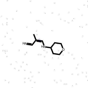 C/C(C=N)=C/NC1CCOCC1